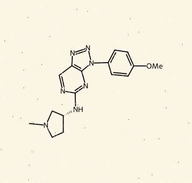 COc1ccc(-n2nnc3cnc(N[C@@H]4CCN(C)C4)nc32)cc1